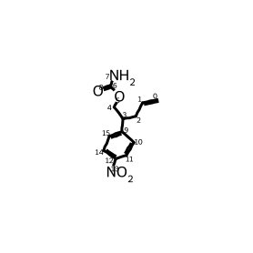 C=CCC(COC(N)=O)c1ccc([N+](=O)[O-])cc1